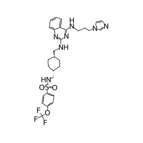 O=S(=O)(NC[C@H]1CC[C@H](CNc2nc(NCCCn3ccnc3)c3ccccc3n2)CC1)c1ccc(OC(F)(F)F)cc1